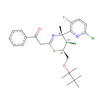 CC(C)(C)[Si](C)(C)OC[C@H]1SC(CC(=O)c2ccccc2)=N[C@](C)(c2nc(Br)ccc2F)[C@H]1F